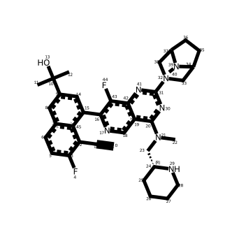 C#Cc1c(F)ccc2cc(C(C)(C)O)cc(-c3ncc4c(N(C)C[C@H]5CCCCN5)nc(N5CC6CCC(C5)N6C)nc4c3F)c12